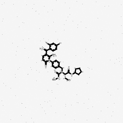 C=C(c1ccc(F)cc1F)c1ccc(=O)n(-c2ccc(CN(C(=O)OC(C)(C)C)[C@@H](CC(C)C)C(=O)OC3CCCC3)cc2)c1N